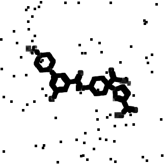 CN1CCN(c2cc(Cl)cc(C(=O)NC3CCC(C(N)=O)(n4ccc(C(=O)O)n4)CC3)c2)CC1